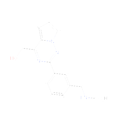 O=C(O)NCc1cccc(-c2nc(CO)c3cccn3n2)c1